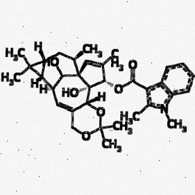 CC1=C[C@]23C(O)[C@@H](C=C4COC(C)(C)O[C@H]4[C@]2(O)[C@H]1OC(=O)c1c(C)n(C)c2ccccc12)[C@H]1[C@@H](C[C@H]3C)C1(C)C